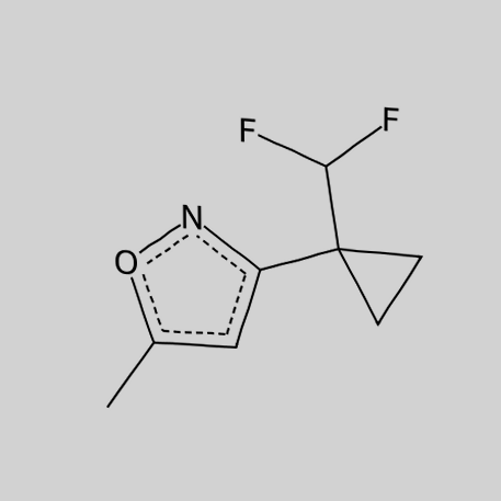 Cc1cc(C2(C(F)F)CC2)no1